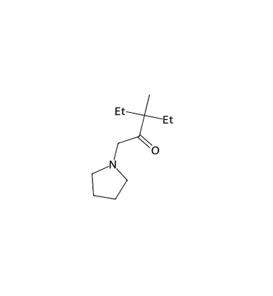 CCC(C)(CC)C(=O)CN1CCCC1